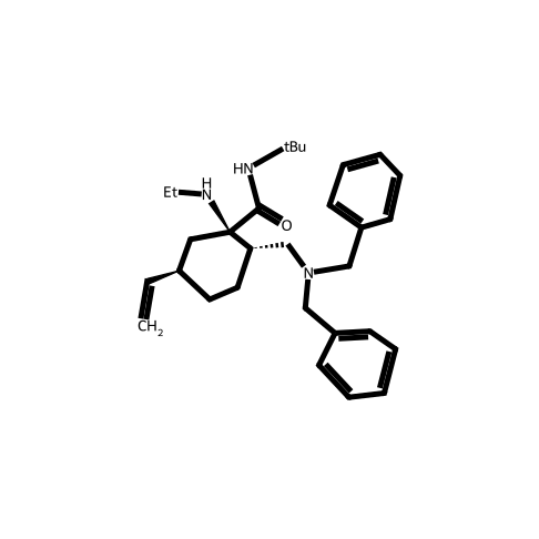 C=C[C@@H]1CC[C@@H](CN(Cc2ccccc2)Cc2ccccc2)[C@@](NCC)(C(=O)NC(C)(C)C)C1